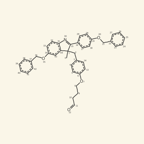 CC1(Cc2ccc(OCCCC=O)cc2)C(c2ccc(OCc3ccccc3)cc2)=Nc2ccc(OCc3ccccc3)cc21